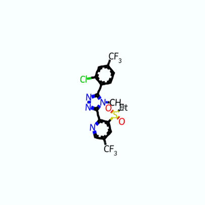 CCS(=O)(=O)c1cc(C(F)(F)F)cnc1-c1nnc(-c2ccc(C(F)(F)F)cc2Cl)n1C